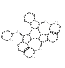 c1ccc(/N=c2/c3ccccc3c3c2c2c4ccccc4/c(=N/c4ccccn4)c2c2c4ccccc4/c(=N\c4ccccn4)c32)nc1